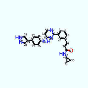 O=C(/C=C/c1cccc(-c2nccc(Nc3ccc(-c4cn[nH]c4)cc3)n2)c1)NC1CC1